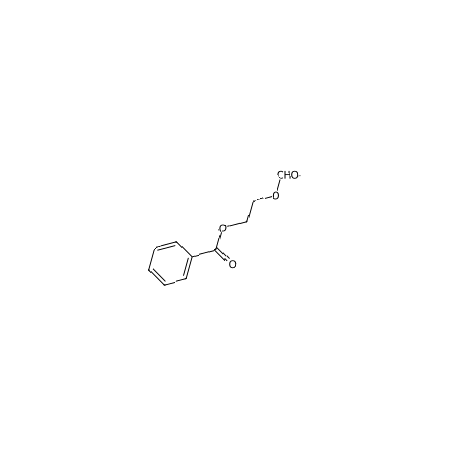 O=[C]OCCOC(=O)c1ccccc1